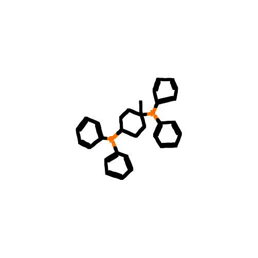 CC1(P(c2ccccc2)c2ccccc2)CCC(P(c2ccccc2)c2ccccc2)CC1